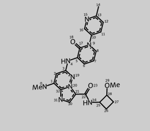 CNc1cc(Nc2cccn(-c3ccc(C)nc3)c2=O)nn2c(C(=O)NC3CCC3OC)cnc12